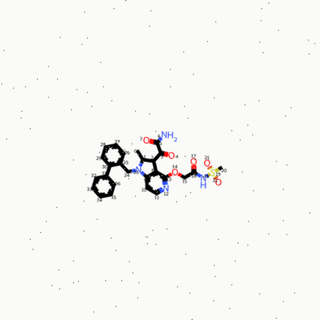 CC1C(C(=O)C(N)=O)c2c(ccnc2OCC(=O)NS(C)(=O)=O)N1Cc1ccccc1-c1ccccc1